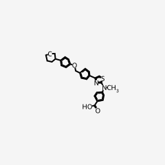 CN(c1ccc(C(=O)O)cc1)c1nc(-c2ccc(COc3ccc(C4CCCCC4)cc3)cc2)cs1